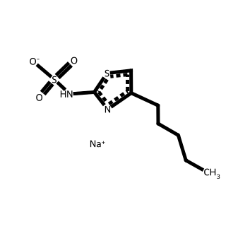 CCCCCc1csc(NS(=O)(=O)[O-])n1.[Na+]